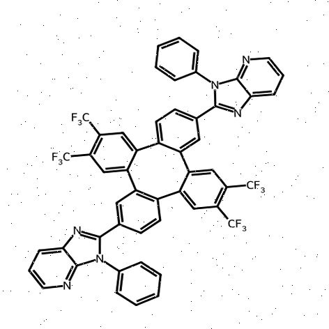 FC(F)(F)c1cc2c(cc1C(F)(F)F)-c1cc(-c3nc4cccnc4n3-c3ccccc3)ccc1-c1cc(C(F)(F)F)c(C(F)(F)F)cc1-c1cc(-c3nc4cccnc4n3-c3ccccc3)ccc1-2